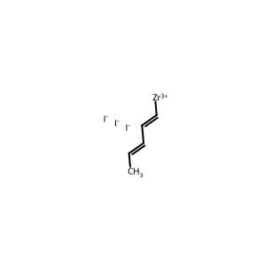 CC=CC=[CH][Zr+3].[I-].[I-].[I-]